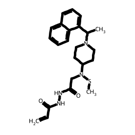 C=CC(=O)NNC(=O)CN(SC)C1CCN(C(C)c2cccc3ccccc23)CC1